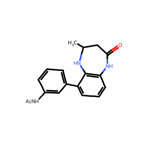 CC(=O)Nc1cccc(-c2cccc3c2NC(C)CC(=O)N3)c1